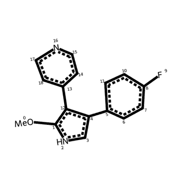 COc1[nH]cc(-c2ccc(F)cc2)c1-c1ccncc1